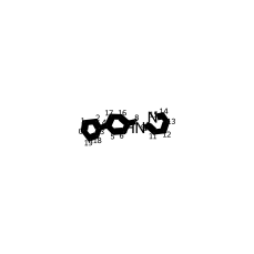 c1ccc(-c2ccc(CNc3ccccn3)cc2)cc1